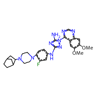 COc1cc2ncnc(-n3nc(Nc4ccc(N5CCN(C6CC7CCC6C7)CC5)c(F)c4)nc3N)c2cc1OC